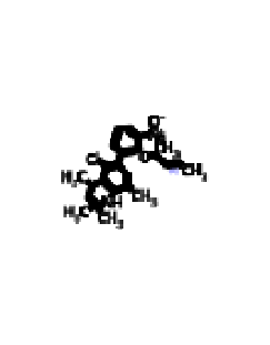 C/C=C/C(C)Oc1c(-c2cc(C)c3c(c2Cl)C(C)CC(C)(C)N3)cccc1[N+](=O)[O-]